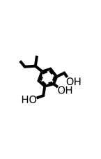 CCC(C)c1cc(CO)c(O)c(CO)c1